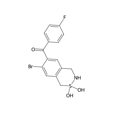 O=C(c1ccc(F)cc1)c1cc2c(cc1Br)CS(O)(O)NC2